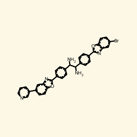 NC(c1ccc(-c2nc3cc(Br)ccc3o2)cc1)C(N)c1ccc(-c2nc3cc(-c4cccnc4)ccc3o2)cc1